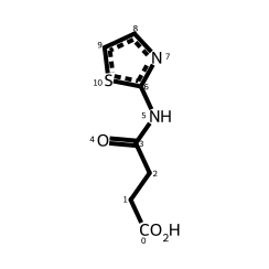 O=C(O)CCC(=O)Nc1nccs1